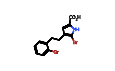 O=C(O)c1cc(CCc2ccccc2Br)c(Br)[nH]1